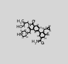 C[C@H](CO)Cn1cc(CN2CCNCC2)c2cc(-c3cc(C(N)=O)cc(F)c3CC3CC3)ccc2c1=O